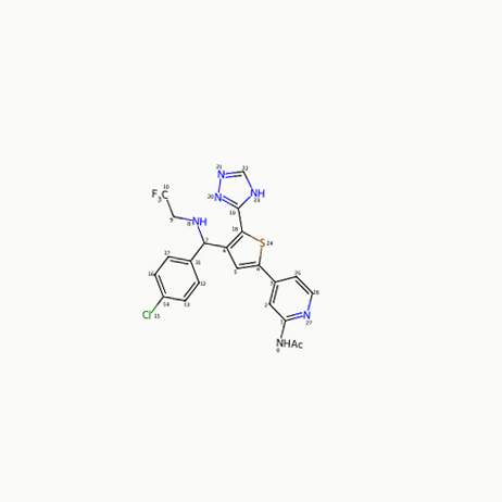 CC(=O)Nc1cc(-c2cc(C(NCC(F)(F)F)c3ccc(Cl)cc3)c(-c3nnc[nH]3)s2)ccn1